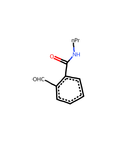 CCCNC(=O)c1ccccc1[C]=O